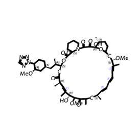 COC1C(=O)C(C)C[C@H](C)/C=C/C=C/C=C(\C)[C@@H](OC)CC2CC[C@@H](C)[C@@](O)(O2)C(=O)C(=O)N2CCCC[C@H]2C(=O)O[C@H]([C@H](C)C[C@@H]2CCC(n3ncnn3)[C@H](OC)C2)CC(=O)[C@H](C)/C=C(\C)[C@H]1O